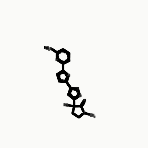 CN1CCC(O)(c2cc(-c3ccc(-c4cccc(C(=O)O)n4)o3)no2)C1=O